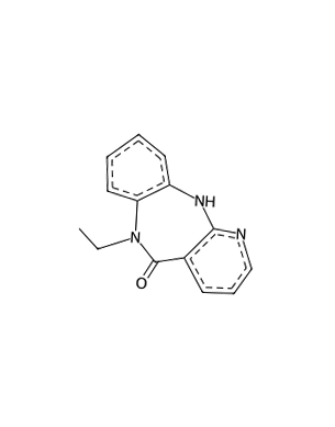 CCN1C(=O)c2cccnc2Nc2ccccc21